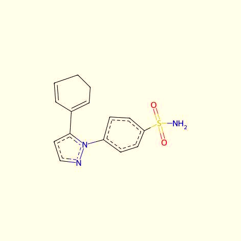 NS(=O)(=O)c1ccc(-n2nccc2C2=CCCC=C2)cc1